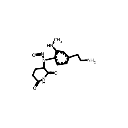 CNc1cc(CCN)ccc1N(N=O)C1CCC(=O)NC1=O